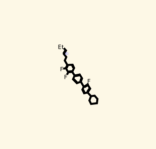 CC/C=C/CCc1ccc(-c2ccc(-c3ccc(C4CCCCC4)cc3F)cc2)c(F)c1F